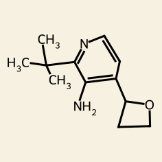 CC(C)(C)c1nccc(C2CCO2)c1N